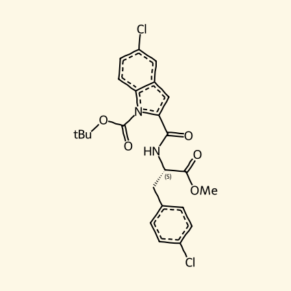 COC(=O)[C@H](Cc1ccc(Cl)cc1)NC(=O)c1cc2cc(Cl)ccc2n1C(=O)OC(C)(C)C